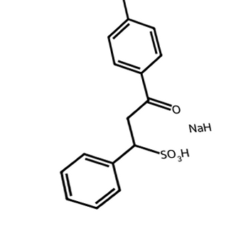 O=C(CC(c1ccccc1)S(=O)(=O)O)c1ccc(Cl)cc1.[NaH]